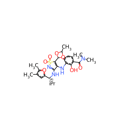 Cc1cc([C@H](NC2=NS(=O)(=O)C(C3OC(C)O3)=C2Nc2cccc(C(=O)N(C)C)c2O)C(C)C)oc1C